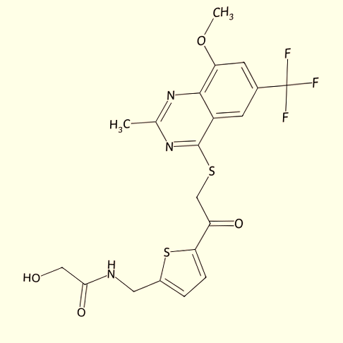 COc1cc(C(F)(F)F)cc2c(SCC(=O)c3ccc(CNC(=O)CO)s3)nc(C)nc12